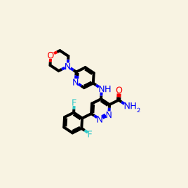 NC(=O)c1nnc(-c2c(F)cccc2F)cc1Nc1ccc(N2CCOCC2)nc1